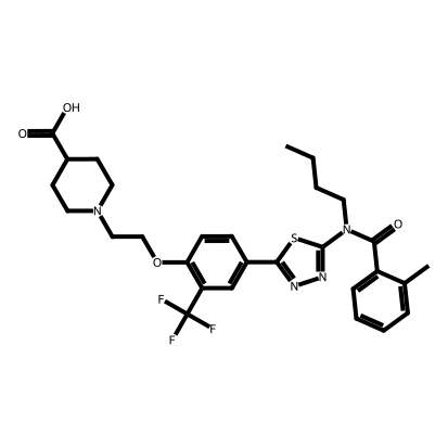 CCCCN(C(=O)c1ccccc1C)c1nnc(-c2ccc(OCCN3CCC(C(=O)O)CC3)c(C(F)(F)F)c2)s1